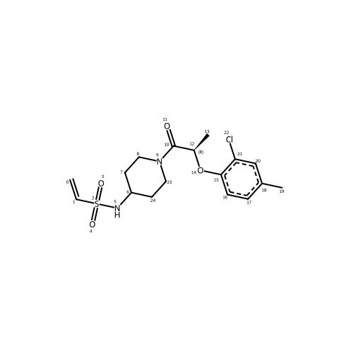 C=CS(=O)(=O)NC1CCN(C(=O)[C@@H](C)Oc2ccc(C)cc2Cl)CC1